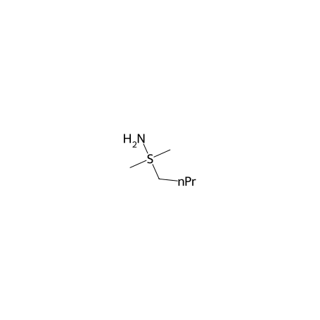 CCCCS(C)(C)N